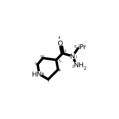 CC(C)N(N)C(=O)C1CCNCC1